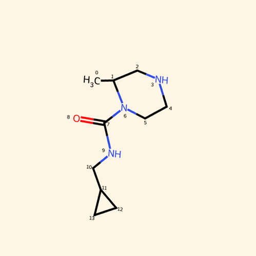 CC1CNCCN1C(=O)NCC1CC1